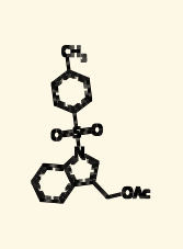 CC(=O)OCc1cn(S(=O)(=O)c2ccc(C)cc2)c2ccccc12